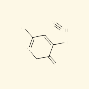 C#N.O=C1CN=C(Cl)C=C1Cl